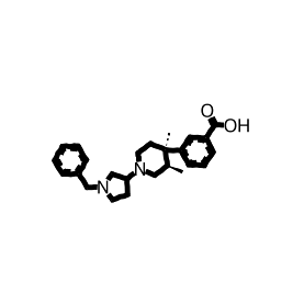 C[C@H]1CN(C2CCN(Cc3ccccc3)C2)CC[C@@]1(C)c1cccc(C(=O)O)c1